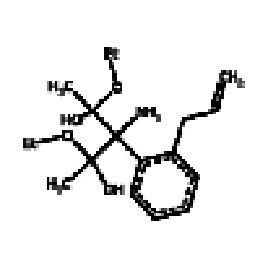 C=CCc1ccccc1C(N)(C(C)(O)OCC)C(C)(O)OCC